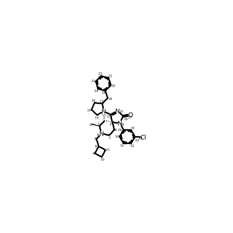 C[C@H]1C[C@]2(CCN1CC1CCC1)C(N1CCCC1Cc1ccccc1)=NC(=O)N2c1cccc(Cl)c1